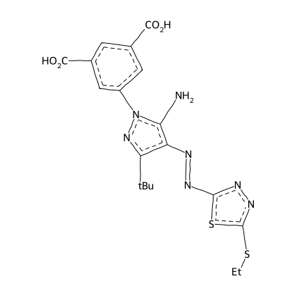 CCSc1nnc(N=Nc2c(C(C)(C)C)nn(-c3cc(C(=O)O)cc(C(=O)O)c3)c2N)s1